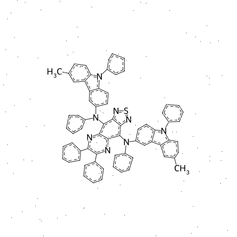 Cc1ccc2c(c1)c1cc(N(c3ccccc3)c3c4nsnc4c(N(c4ccccc4)c4ccc5c(c4)c4cc(C)ccc4n5-c4ccccc4)c4nc(-c5ccccc5)c(-c5ccccc5)nc34)ccc1n2-c1ccccc1